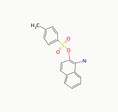 Cc1ccc(S(=O)(=O)Oc2ccc3ccccc3c2[N])cc1